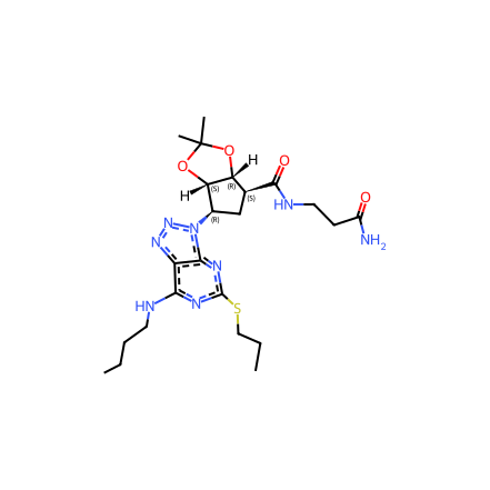 CCCCNc1nc(SCCC)nc2c1nnn2[C@@H]1C[C@H](C(=O)NCCC(N)=O)[C@H]2OC(C)(C)O[C@H]21